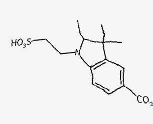 CC1N(CCS(=O)(=O)O)c2ccc(C(=O)O)cc2C1(C)C